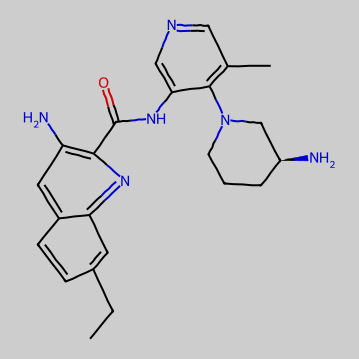 CCc1ccc2cc(N)c(C(=O)Nc3cncc(C)c3N3CCC[C@H](N)C3)nc2c1